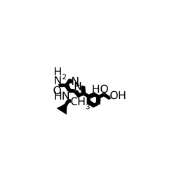 CC(Nc1c(C(N)=O)cnn2cc(-c3cccc(C(O)CO)c3)cc12)C1CC1